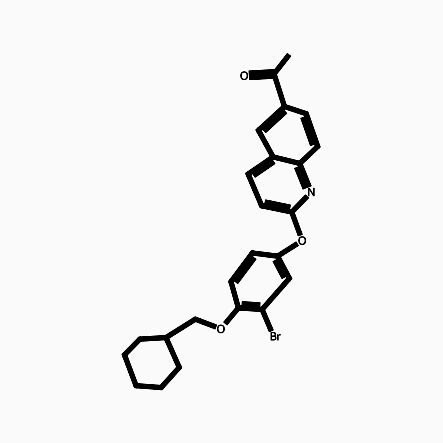 CC(=O)c1ccc2nc(Oc3ccc(OCC4CCCCC4)c(Br)c3)ccc2c1